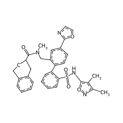 Cc1noc(NS(=O)(=O)c2ccccc2-c2ccc(-c3ncco3)cc2CN(C)C(=O)C2CCc3ccccc3C2)c1C